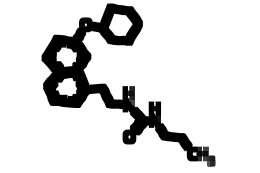 CCCNC(=O)NCCc1cccc2ccc(OC3CCCCC3)cc12